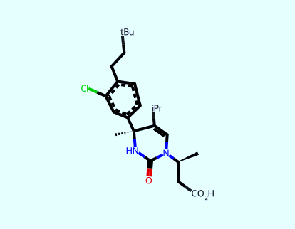 CC(C)C1=CN([C@@H](C)CC(=O)O)C(=O)N[C@@]1(C)c1ccc(CCC(C)(C)C)c(Cl)c1